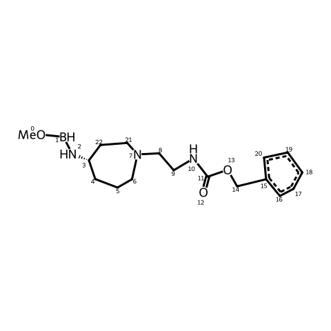 COBN[C@H]1CCCN(CCNC(=O)OCc2ccccc2)CC1